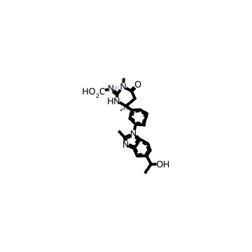 Cc1nc2cc(C(C)O)ccc2n1-c1cccc([C@]2(C)CC(=O)N(C)/C(=N/C(=O)O)N2)c1